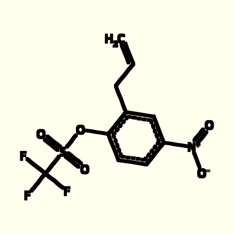 C=CCc1cc([N+](=O)[O-])ccc1OS(=O)(=O)C(F)(F)F